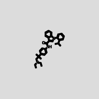 CCN(CC)CC(C)(C)c1ccc(NC(=O)c2cn(-c3ccccc3C(C)C)c3ccccc23)cc1